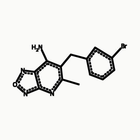 Cc1nc2nonc2c(N)c1Cc1cccc(Br)c1